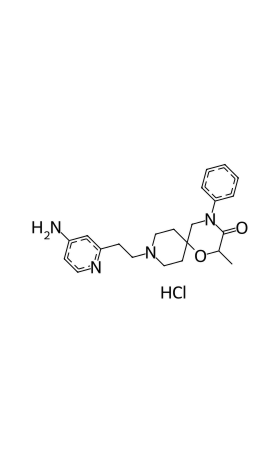 CC1OC2(CCN(CCc3cc(N)ccn3)CC2)CN(c2ccccc2)C1=O.Cl